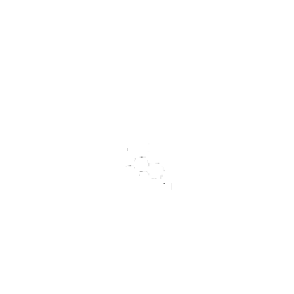 CCCCCCOc1c(OC)c(=O)n(CCCC)c2cc(N)ccc12